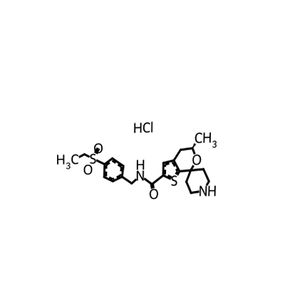 CCS(=O)(=O)c1ccc(CNC(=O)c2cc3c(s2)C2(CCNCC2)O[C@H](C)C3)cc1.Cl